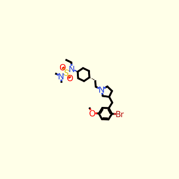 CCN([C@H]1CC[C@H](CCN2CCC(Cc3cc(OC)ccc3Br)C2)CC1)S(=O)(=O)N(C)C